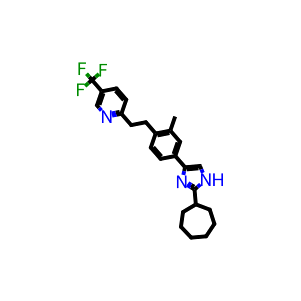 Cc1cc(-c2c[nH]c(C3CCCCCC3)n2)ccc1CCc1ccc(C(F)(F)F)cn1